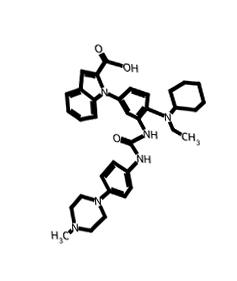 CCN(c1ccc(-n2c(C(=O)O)cc3ccccc32)cc1NC(=O)Nc1ccc(N2CCN(C)CC2)cc1)C1CCCCC1